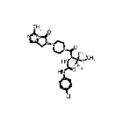 CSC(C)(C)[C@@H](NC(=O)Nc1ccc(Cl)cc1)C(=O)N1CCN(N2Cc3cnc(C)n3C2=O)CC1